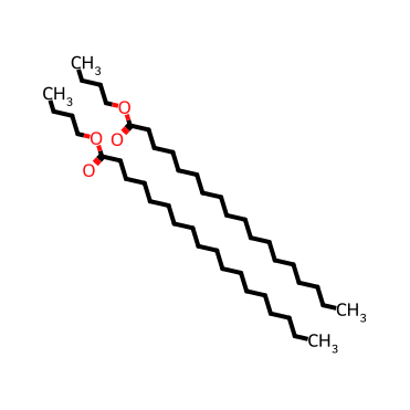 CCCCCCCCCCCCCCCCCC(=O)OCCCC.CCCCCCCCCCCCCCCCCC(=O)OCCCC